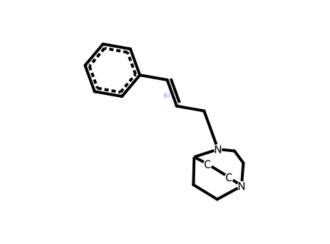 C(=C\c1ccccc1)/CN1CCN2CCC1CC2